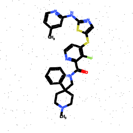 Cc1ccnc(Nc2ncc(Sc3ccnc(C(=O)NCC4(c5ccccc5)CCN(C)CC4)c3F)s2)c1